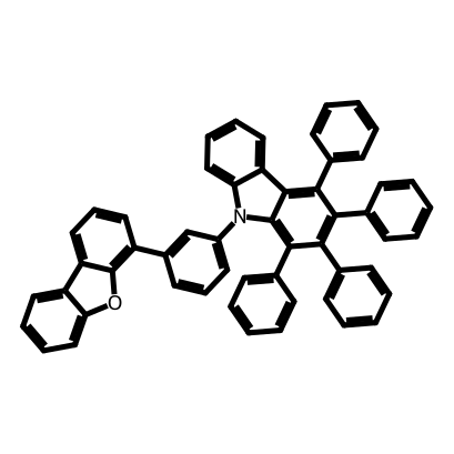 c1ccc(-c2c(-c3ccccc3)c(-c3ccccc3)c3c(c2-c2ccccc2)c2ccccc2n3-c2cccc(-c3cccc4c3oc3ccccc34)c2)cc1